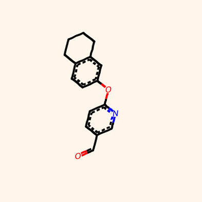 O=Cc1ccc(Oc2ccc3c(c2)CCCC3)nc1